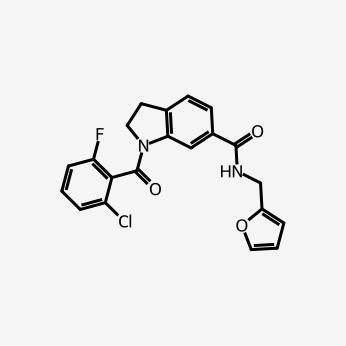 O=C(NCc1ccco1)c1ccc2c(c1)N(C(=O)c1c(F)cccc1Cl)CC2